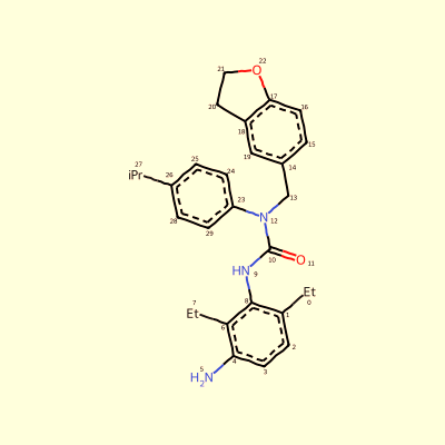 CCc1ccc(N)c(CC)c1NC(=O)N(Cc1ccc2c(c1)CCO2)c1ccc(C(C)C)cc1